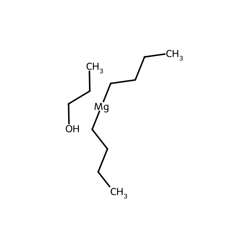 CCCO.CCC[CH2][Mg][CH2]CCC